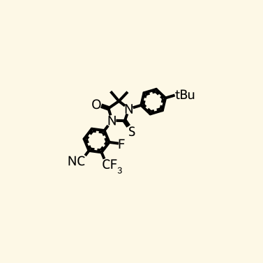 CC(C)(C)c1ccc(N2C(=S)N(c3ccc(C#N)c(C(F)(F)F)c3F)C(=O)C2(C)C)cc1